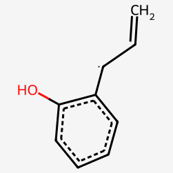 C=C[CH]c1ccccc1O